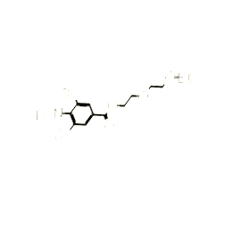 CCOCCOCCOC(=O)c1cc(Br)c(N)c(Br)c1